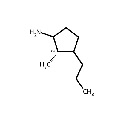 CCCC1CCC(N)[C@H]1C